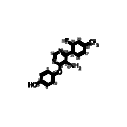 Nc1c(Oc2ccc(O)cc2)ncnc1-c1ccc(C(F)(F)F)cc1F